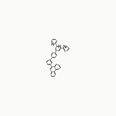 c1ccc(-c2cc(-c3ccc(-c4cccc(-c5cc6ccccc6c6ccccc56)c4)cc3)cc(-c3ccccn3)n2)nc1